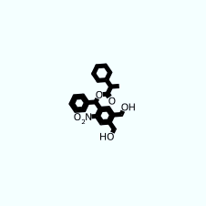 CC(C(=O)OC(c1ccccc1)c1cc(CO)c(CO)cc1[N+](=O)[O-])C1CCCCC1